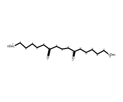 CCCCCCCCCCCCCCCC(=O)C[CH]CC(=O)CCCCCCCCCCCCCCC